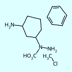 CCl.NC1CCCC(N(N)C(=O)O)C1.c1ccccc1